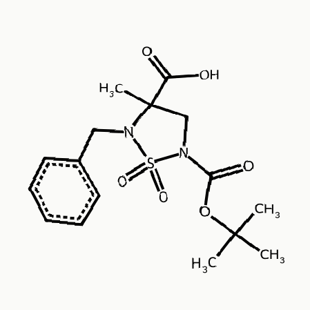 CC(C)(C)OC(=O)N1CC(C)(C(=O)O)N(Cc2ccccc2)S1(=O)=O